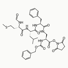 CSCC[C@H](NC=O)C(=O)N[C@@H](CC(C)C)C(=O)N[C@@H](Cc1ccccc1)C(=O)NC[C@H](NC(=O)OCc1ccccc1)C(=O)ON1C(=O)CCC1=O